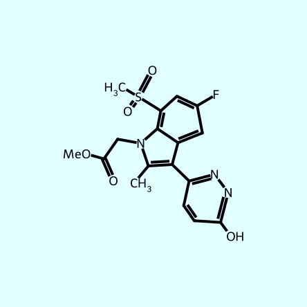 COC(=O)Cn1c(C)c(-c2ccc(O)nn2)c2cc(F)cc(S(C)(=O)=O)c21